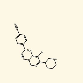 N#Cc1ccc(C/C=N\N2CN=C(C3CCCNC3)C(Br)=C2N)cn1